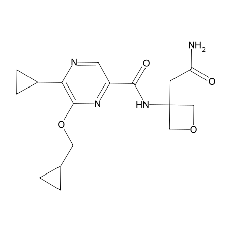 NC(=O)CC1(NC(=O)c2cnc(C3CC3)c(OCC3CC3)n2)COC1